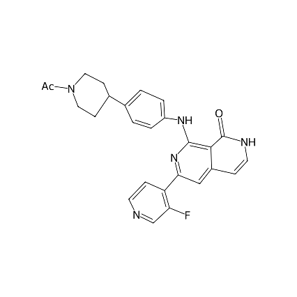 CC(=O)N1CCC(c2ccc(Nc3nc(-c4ccncc4F)cc4cc[nH]c(=O)c34)cc2)CC1